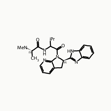 CN[C@@H](C)C(=O)NC(C(=O)N1c2ncccc2C[C@@H]1c1nc2ccccc2[nH]1)C(C)C